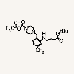 CC(C)(C)OC(=O)CCCNc1cc(C(F)(F)F)ccc1CN1CCN(C(=O)OC(C(F)(F)F)C(F)(F)F)CC1